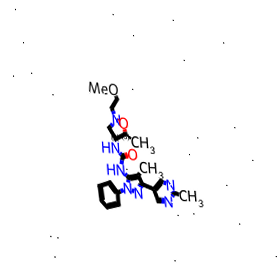 COCCN1C[C@@H](NC(=O)Nc2c(C)c(-c3cnc(C)nc3)nn2-c2ccccc2)[C@H](C)O1